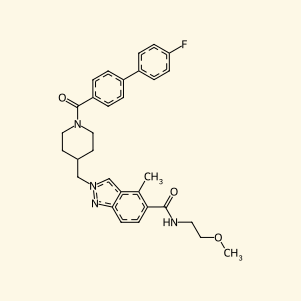 COCCNC(=O)c1ccc2nn(CC3CCN(C(=O)c4ccc(-c5ccc(F)cc5)cc4)CC3)cc2c1C